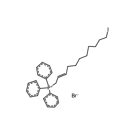 ICCCCCCCCC=CC[P+](c1ccccc1)(c1ccccc1)c1ccccc1.[Br-]